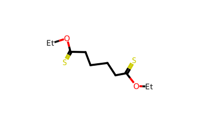 CCOC(=S)CCCCC(=S)OCC